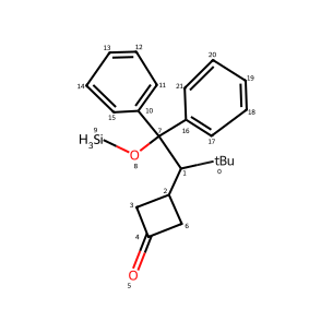 CC(C)(C)C(C1CC(=O)C1)C(O[SiH3])(c1ccccc1)c1ccccc1